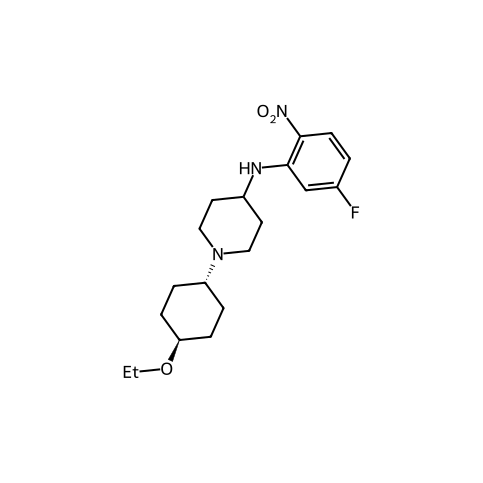 CCO[C@H]1CC[C@H](N2CCC(Nc3cc(F)ccc3[N+](=O)[O-])CC2)CC1